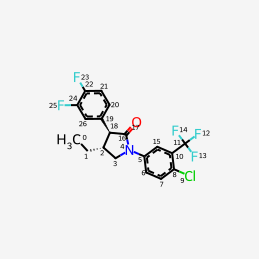 CC[C@H]1CN(c2ccc(Cl)c(C(F)(F)F)c2)C(=O)[C@@H]1c1ccc(F)c(F)c1